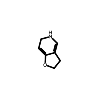 C1=C2CCOC2=CCN1